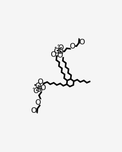 CCCCCCCC1C(CCCCC)CCC(CCCCCCC(=O)O[Si](CCCOCC2CO2)(OC)OC)C1CCCCCCCC(=O)O[Si](CCCOCC1CO1)(OC)OC